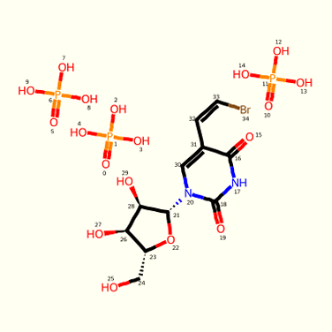 O=P(O)(O)O.O=P(O)(O)O.O=P(O)(O)O.O=c1[nH]c(=O)n([C@@H]2O[C@H](CO)[C@@H](O)[C@H]2O)cc1/C=C\Br